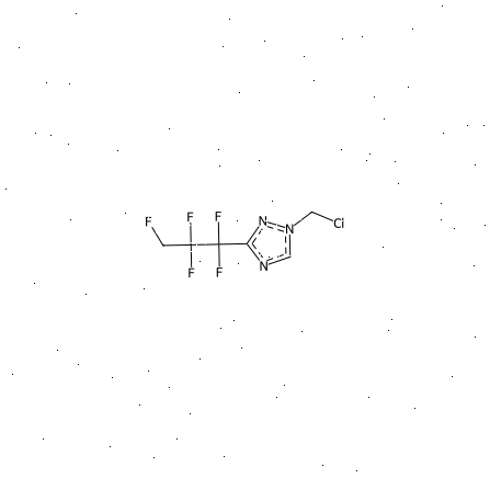 FCC(F)(F)C(F)(F)c1ncn(CCl)n1